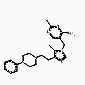 Cc1ncc(C[n+]2csc(CCN3CCN(c4ccccc4)CC3)c2C)c(N)n1